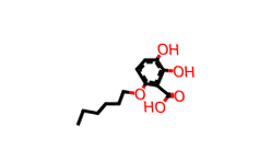 CCCCCCOc1ccc(O)c(O)c1C(=O)O